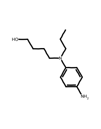 CCCN(CCCCO)c1ccc(N)cc1